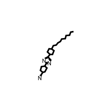 CCCCCCCCCCC1CCC(c2cnc(C3CCC(C#N)CC3)nc2)CC1